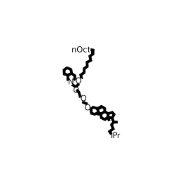 CCCCCCCC/C=C\CCCCCCCCOCC(CN1CCC2CCCCC2C1)OCCOCCOC1CCC2(C)C(=CCC3C2CCC2(C)C(C(C)CCCC(C)C)CCC32)C1